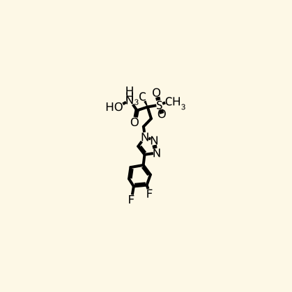 C[C@@](CCn1cc(-c2ccc(F)c(F)c2)nn1)(C(=O)NO)S(C)(=O)=O